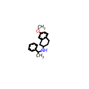 COc1ccc2c(c1)CC(NC(C)c1ccccc1)CC2